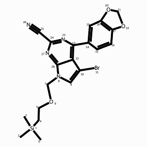 C[Si](C)(C)CCOCn1cc(Br)c2c(-c3ccc4c(c3)OCO4)nc(C#N)nc21